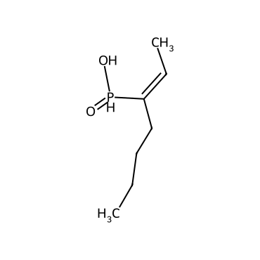 CC=C(CCCC)[PH](=O)O